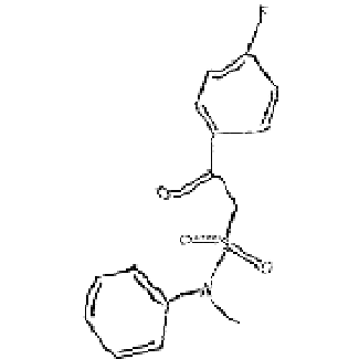 CN(c1ccccc1)S(=O)(=O)CC(=O)c1ccc(F)cc1